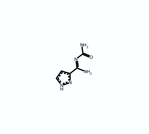 NC(=O)N=C(N)c1cc[nH]n1